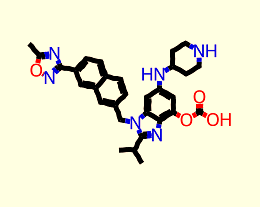 Cc1nc(-c2ccc3ccc(Cn4c(C(C)C)nc5c(OC(=O)O)cc(NC6CCNCC6)cc54)cc3c2)no1